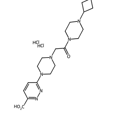 Cl.Cl.O=C(O)c1ccc(N2CCN(CC(=O)N3CCN(C4CCC4)CC3)CC2)nn1